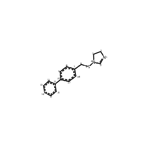 C1=NCCN1SCc1ccc(-c2ccccc2)cc1